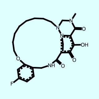 CN1CN2CCCCCCCCOc3cc(F)ccc3CNC(=O)c3cn2c(c(O)c3=O)C1=O